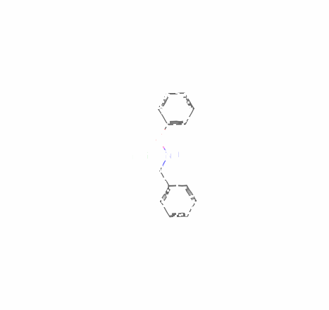 Cl.c1ccc(CNOc2ccccc2)cc1